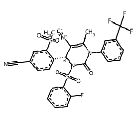 [C-]#[N+]C1=C(C)N(c2cccc(C(F)(F)F)c2)C(=O)N(S(=O)(=O)c2ccccc2F)[C@@H]1c1ccc(C#N)cc1S(C)(=O)=O